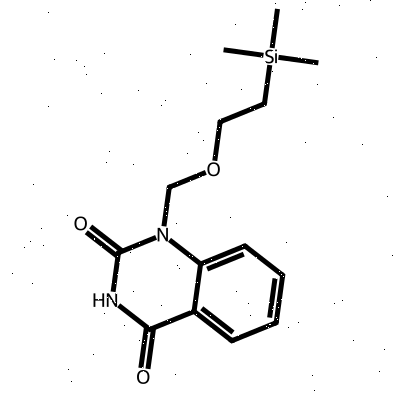 C[Si](C)(C)CCOCn1c(=O)[nH]c(=O)c2ccccc21